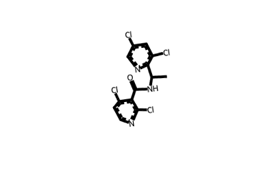 CC(NC(=O)c1c(Cl)ccnc1Cl)c1ncc(Cl)cc1Cl